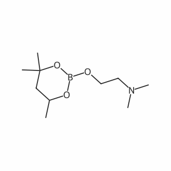 CC1CC(C)(C)OB(OCCN(C)C)O1